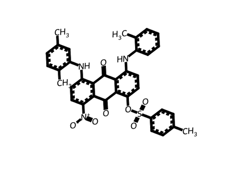 Cc1ccc(S(=O)(=O)Oc2ccc(Nc3ccccc3C)c3c2C(=O)c2c([N+](=O)[O-])ccc(Nc4cc(C)ccc4C)c2C3=O)cc1